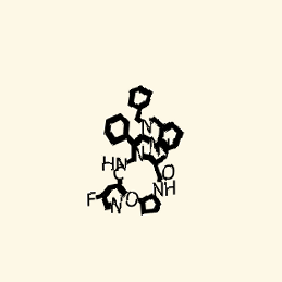 O=C1NC2CCCC2Oc2ncc(F)cc2CNc2nc3c1cnn3c(N(Cc1ccccc1)Cc1ccccc1)c2-c1ccccc1